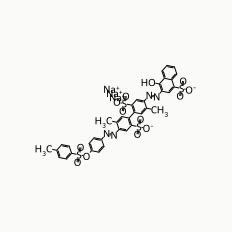 Cc1ccc(S(=O)(=O)Oc2ccc(N=Nc3cc(S(=O)(=O)[O-])c(-c4cc(C)c(N=Nc5cc(S(=O)(=O)[O-])c6ccccc6c5O)cc4S(=O)(=O)[O-])cc3C)cc2)cc1.[Na+].[Na+].[Na+]